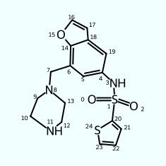 O=S(=O)(Nc1cc(CN2CCNCC2)c2occc2c1)c1cccs1